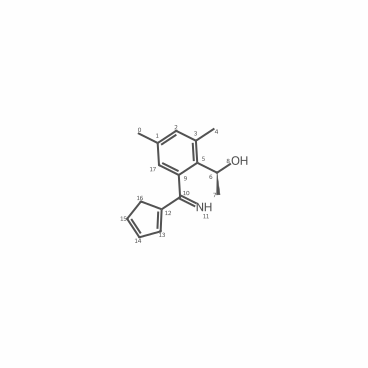 Cc1cc(C)c([C@H](C)O)c(C(=N)C2=CC=CC2)c1